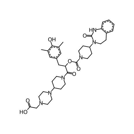 Cc1cc(CC(OC(=O)N2CCC(N3CCc4ccccc4NC3=O)CC2)C(=O)N2CCC(N3CCN(CC(=O)O)CC3)CC2)cc(C)c1O